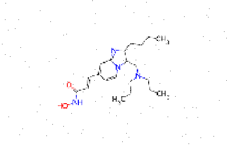 CCCCC1N=C2C=C(/C=C/C(=O)NO)C=CN2C1CN(CCC)CCC